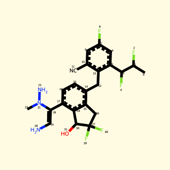 CC(F)C(F)c1cc(F)cc(C#N)c1Cc1ccc(/C(=C/N)N(C)N)c2c1CC(F)(F)C2O